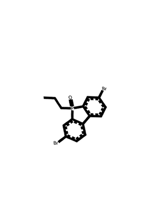 CCCP1(=O)c2cc(Br)ccc2-c2ccc(Br)cc21